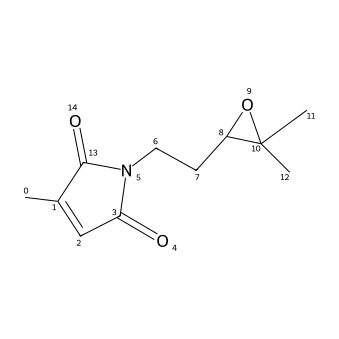 CC1=CC(=O)N(CCC2OC2(C)C)C1=O